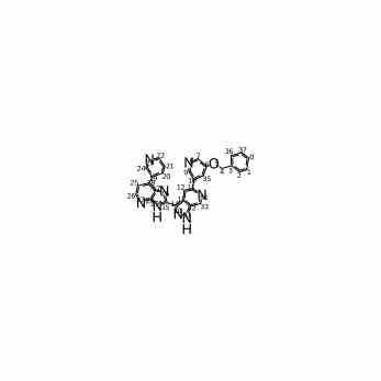 c1ccc(COc2cncc(-c3cc4c(-c5nc6c(-c7cccnc7)ccnc6[nH]5)n[nH]c4cn3)c2)cc1